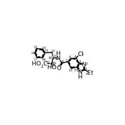 CCc1nc2c(Cl)cc(C(=O)N[C@H](Cc3ccccc3)[C@@H](O)C(=O)O)cc2[nH]1